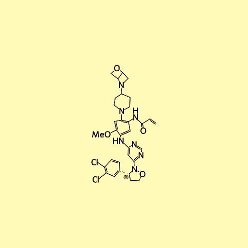 C=CC(=O)Nc1cc(Nc2cc(N3OCC[C@@H]3c3ccc(Cl)c(Cl)c3)ncn2)c(OC)cc1N1CCC(N2CC3OCC32)CC1